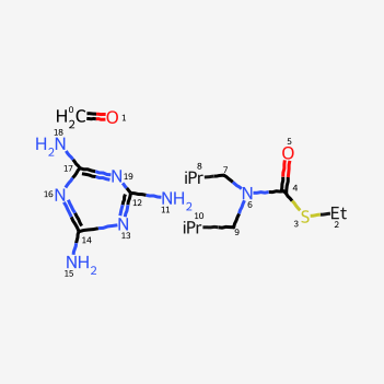 C=O.CCSC(=O)N(CC(C)C)CC(C)C.Nc1nc(N)nc(N)n1